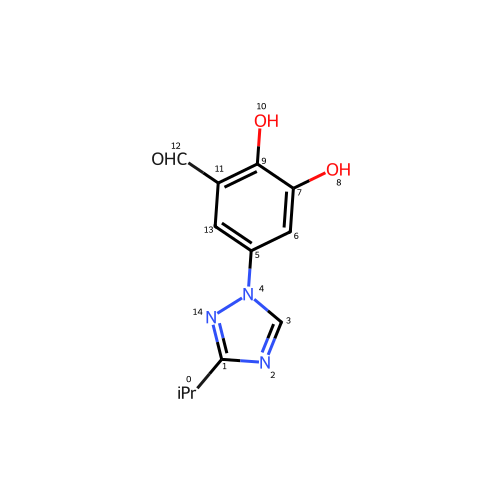 CC(C)c1ncn(-c2cc(O)c(O)c(C=O)c2)n1